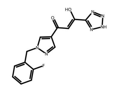 O=C(C=C(O)c1nn[nH]n1)c1cnn(Cc2ccccc2F)c1